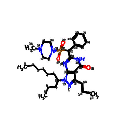 CCCCCCC(CCC)n1nc(CCC)c2c(=O)[nH]c(C(c3ccccc3)S(=O)(=O)N3CCN(C)CC3)nc21